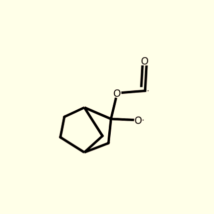 [O]C1(O[C]=O)CC2CCC1C2